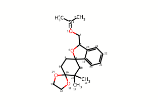 C[SiH](C)OCC1OC2(CCC3(OCCO3)C(C)(C)C2)c2ccccc21